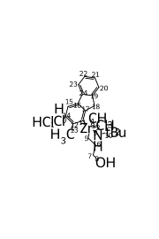 Cl.Cl.[CH2]=[Zr]([CH3])([CH2]CCO)([NH]C(C)(C)C)[c]1c(C)ccc2c1Cc1ccccc1-2